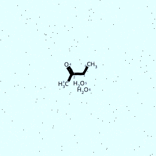 CCC(C)=O.O.O